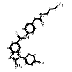 CCCCNC(=O)Cc1ccc(NC(=O)c2ccc3nc(C)n(C4=CC=C(F)CC4)c3c2)cc1